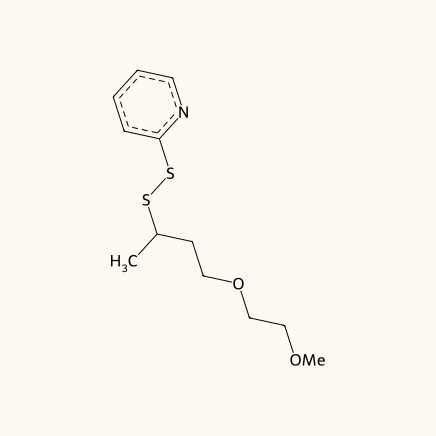 COCCOCCC(C)SSc1ccccn1